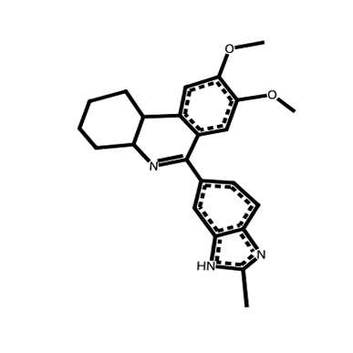 COc1cc2c(cc1OC)C1CCCCC1N=C2c1ccc2nc(C)[nH]c2c1